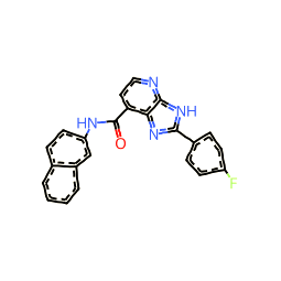 O=C(Nc1ccc2ccccc2c1)c1ccnc2[nH]c(-c3ccc(F)cc3)nc12